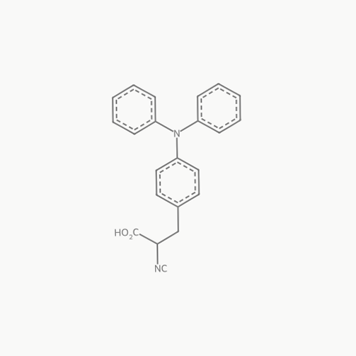 [C-]#[N+]C(Cc1ccc(N(c2ccccc2)c2ccccc2)cc1)C(=O)O